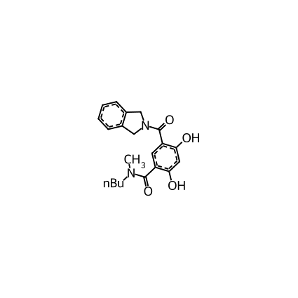 CCCCN(C)C(=O)c1cc(C(=O)N2Cc3ccccc3C2)c(O)cc1O